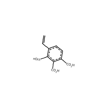 C=Cc1ccc(C(=O)O)c(C(=O)O)c1CCCCCCCC